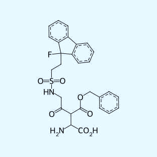 NC(C(=O)O)C(C(=O)CNS(=O)(=O)CCC1(F)c2ccccc2-c2ccccc21)C(=O)OCc1ccccc1